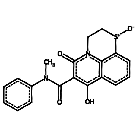 CN(C(=O)c1c(O)c2cccc3c2n(c1=O)CC[S+]3[O-])c1ccccc1